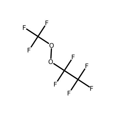 FC(F)(F)OOC(F)(F)C(F)(F)F